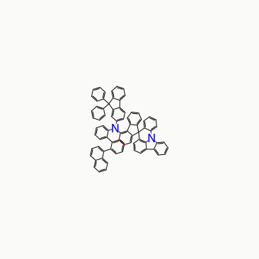 c1ccc(C2(c3ccccc3)c3ccccc3-c3ccc(N(c4ccccc4-c4ccccc4-c4cccc5ccccc45)c4cccc5c4-c4ccccc4C54c5ccccc5-n5c6ccccc6c6cccc4c65)cc32)cc1